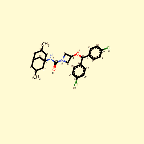 CC1CC2CC(C)CC(NC(=O)N3CC(OC(c4ccc(Cl)cc4)c4ccc(Cl)cc4)C3)(C1)C2